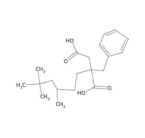 CC(CCC(CC(=O)O)(Cc1ccccc1)C(=O)O)CC(C)(C)C